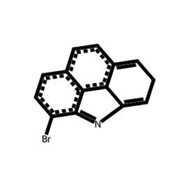 Brc1ccc2ccc3c4c2c1=NC4=CCC=3